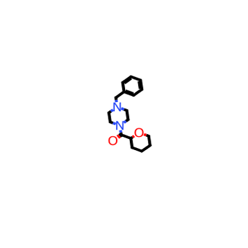 O=C(C1CCCCO1)N1CCN(Cc2ccccc2)CC1